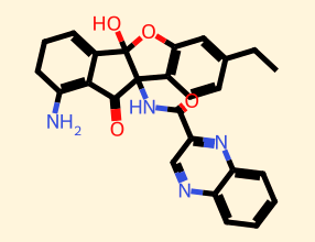 CCc1ccc2c(c1)OC1(O)C3=CCCC(N)=C3C(=O)C21NC(=O)c1cnc2ccccc2n1